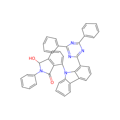 O=C1c2c(cccc2-n2c3ccccc3c3cccc(-c4nc(-c5ccccc5)nc(-c5ccccc5)n4)c32)C(O)N1c1ccccc1